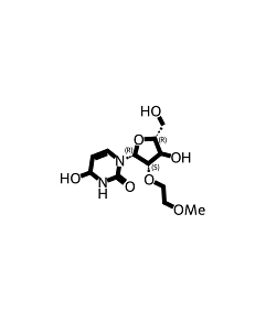 COCCO[C@H]1C(O)[C@@H](CO)O[C@H]1N1C=CC(O)NC1=O